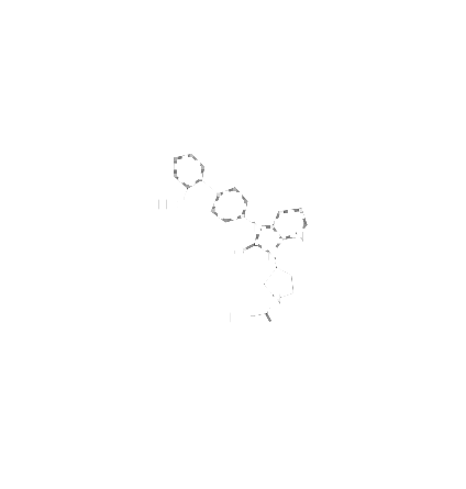 Cc1ccccc1-c1ccc(-n2c(=O)n(C3CCN(C(=O)O)C3)c3ncccc32)cc1